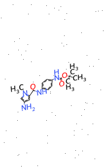 Cn1cc(N)cc1C(=O)Nc1ccc(NC(=O)OC(C)(C)C)cc1